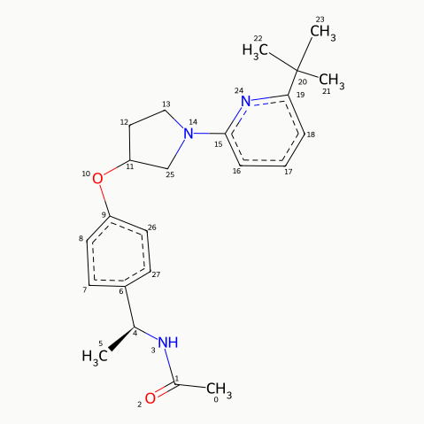 CC(=O)N[C@@H](C)c1ccc(OC2CCN(c3cccc(C(C)(C)C)n3)C2)cc1